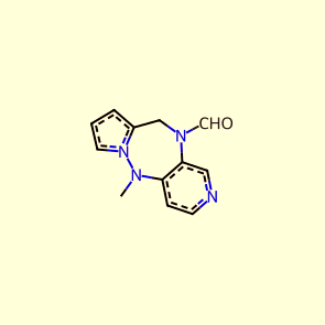 CN1c2ccncc2N(C=O)Cc2cccn21